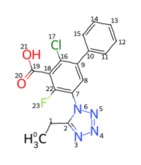 CCc1nnnn1-c1cc(-c2ccccc2)c(Cl)c(C(=O)O)c1F